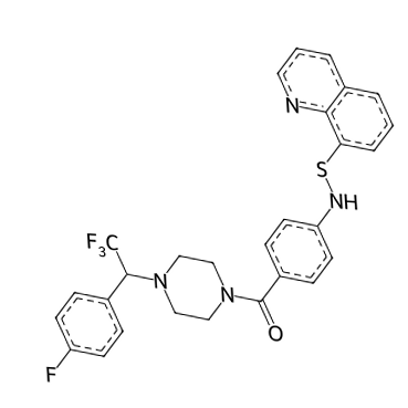 O=C(c1ccc(NSc2cccc3cccnc23)cc1)N1CCN(C(c2ccc(F)cc2)C(F)(F)F)CC1